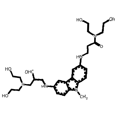 Cn1c2ccc(NCCC(=O)N(CCO)CCO)cc2c2cc(NCC(C=O)CN(CCO)CCO)ccc21